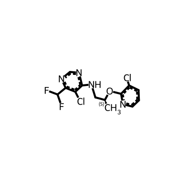 C[C@@H](CNc1ncnc(C(F)F)c1Cl)Oc1ncccc1Cl